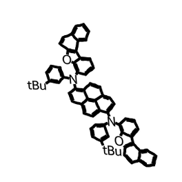 CC(C)(C)c1cccc(N(c2ccc3ccc4c(N(c5cccc(C(C)(C)C)c5)c5cccc6c5oc5ccc7ccccc7c56)ccc5ccc2c3c54)c2cccc3c2oc2ccc4ccccc4c23)c1